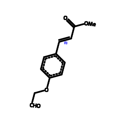 COC(=O)/C=C/c1ccc(OCC=O)cc1